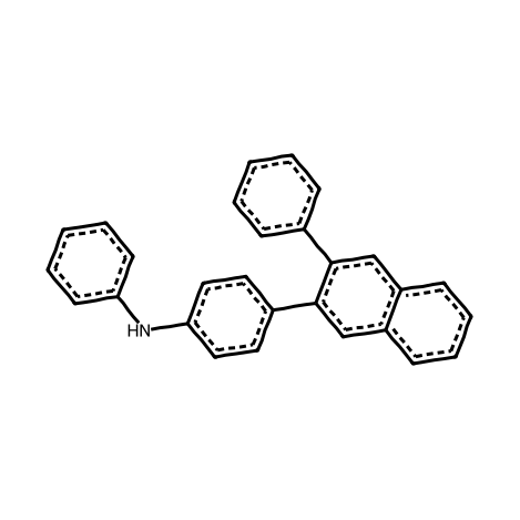 c1ccc(Nc2ccc(-c3cc4ccccc4cc3-c3ccccc3)cc2)cc1